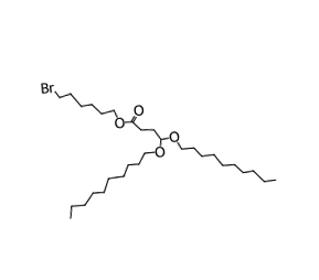 CCCCCCCCCCOC(CCC(=O)OCCCCCCBr)OCCCCCCCCCC